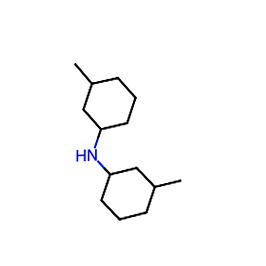 CC1CCCC(NC2CCCC(C)C2)C1